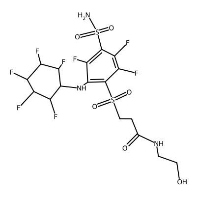 NS(=O)(=O)c1c(F)c(F)c(S(=O)(=O)CCC(=O)NCCO)c(NC2C(F)C(F)C(F)C(F)C2F)c1F